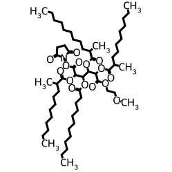 CCCCCCCCCCCC(=O)OC(C(OC(=O)C(C)CCCCCCCCC)C(=O)ON1C(=O)CCC1=O)C(OC(=O)C(C)CCCCCCCCC)C(OC(=O)C(C)CCCCCCCCC)C(=O)OCCOC